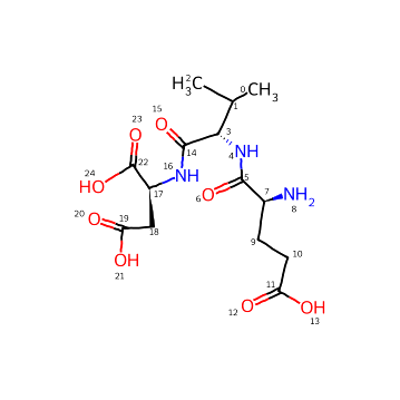 CC(C)[C@H](NC(=O)[C@@H](N)CCC(=O)O)C(=O)N[C@@H](CC(=O)O)C(=O)O